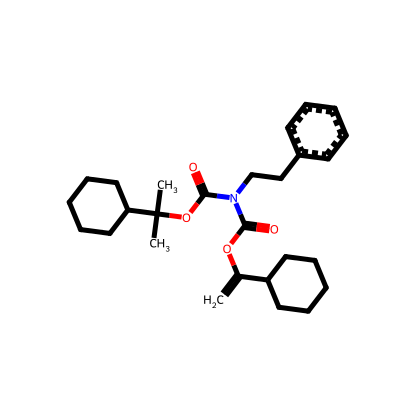 C=C(OC(=O)N(CCc1ccccc1)C(=O)OC(C)(C)C1CCCCC1)C1CCCCC1